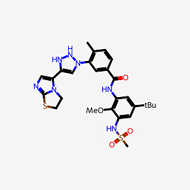 COc1c(NC(=O)c2ccc(C)c(N3C=C(c4cnc5n4CCS5)NN3)c2)cc(C(C)(C)C)cc1NS(C)(=O)=O